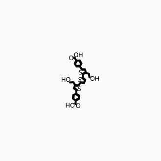 O=C(O)c1ccc(-c2cc(CCO)c(-c3ccc(-c4sc(-c5ccc(C(=O)O)cc5)cc4CCO)s3)s2)cc1